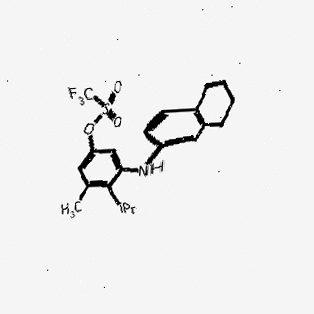 Cc1cc(OS(=O)(=O)C(F)(F)F)cc(Nc2ccc3c(c2)CCCC3)c1C(C)C